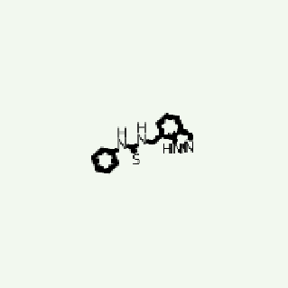 S=C(NCc1cccc2cn[nH]c12)Nc1ccccc1